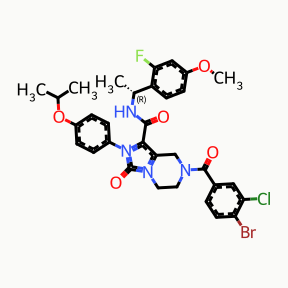 COc1ccc([C@@H](C)NC(=O)c2c3n(c(=O)n2-c2ccc(OC(C)C)cc2)CCN(C(=O)c2ccc(Br)c(Cl)c2)C3)c(F)c1